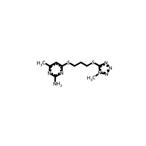 Cc1cc(SCCCSc2nnnn2C)nc(N)n1